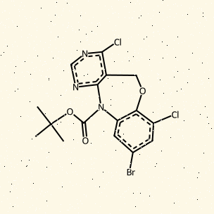 CC(C)(C)OC(=O)N1c2cc(Br)cc(Cl)c2OCc2c(Cl)ncnc21